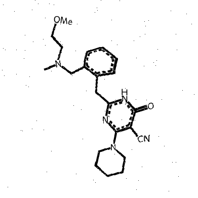 COCCN(C)Cc1ccccc1Cc1nc(N2CCCCC2)c(C#N)c(=O)[nH]1